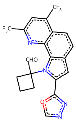 O=CC1(n2c(-c3nnco3)cc3ccc4c(C(F)(F)F)cc(C(F)(F)F)nc4c32)CCC1